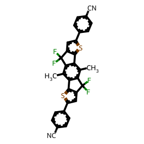 Cc1c2c(c(C)c3c1C(F)(F)c1cc(-c4ccc(C#N)cc4)sc1-3)C(F)(F)c1cc(-c3ccc(C#N)cc3)sc1-2